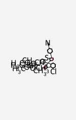 CC1(C)OB(B2OC(C)(C)C(C)(Cc3ccc4c(c3)C3(c5ccccc5-c5c(Cl)cccc53)c3cccc(-c5ccc(C#N)cc5)c3S4)O2)OC1(C)C